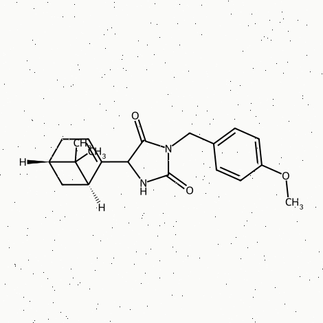 COc1ccc(CN2C(=O)NC(C3=CC[C@H]4C[C@H]3C4(C)C)C2=O)cc1